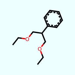 CCOCC(COCC)c1ccccc1